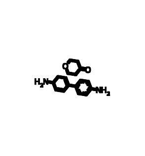 Nc1ccc(C2=CCC(N)C=C2)cc1.O=C1CCOCC1